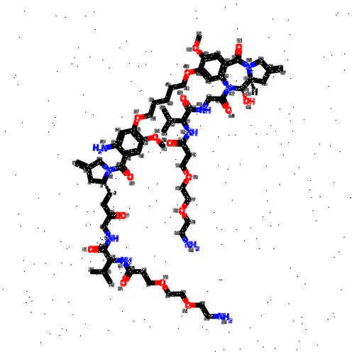 C=C1C[C@@H](CCC(=O)CNC(=O)C(NC(=O)CCOCCOCCN)C(C)C)N(C(=O)c2cc(OC)c(OCCCCCOc3cc4c(cc3OC)C(=O)N3CC(=C)C[C@H]3[C@H](O)N4C(=O)CNC(=O)C(NC(=O)CCOCCOCCN)C(C)C)cc2N)C1